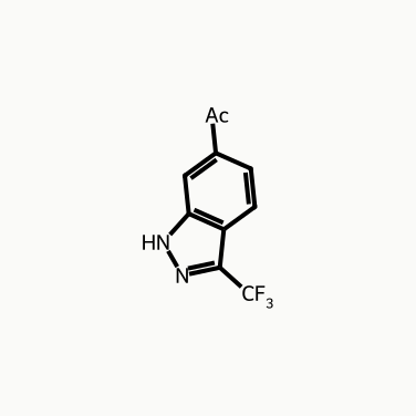 CC(=O)c1ccc2c(C(F)(F)F)n[nH]c2c1